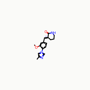 COc1cc(/C=C2\CCCNC2=O)ccc1-n1cnc(C)c1